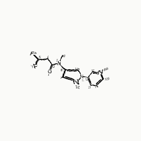 CN(C(=O)CC(F)F)c1cnn(-c2cccnc2)c1